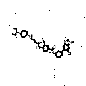 CCN(CC)[C@H]1CC[C@H](NC/C=C/C(=O)Nc2ccc(C(=O)Nc3cccc(-c4cc5ncn(C)c5cc4Cl)c3)cc2C#N)CC1